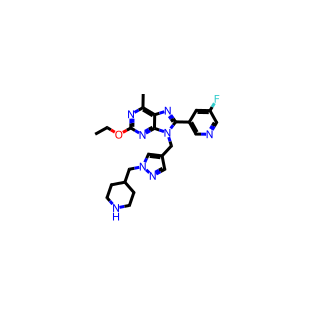 CCOc1nc(C)c2nc(-c3cncc(F)c3)n(Cc3cnn(CC4CCNCC4)c3)c2n1